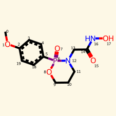 COc1ccc(P2(=O)OCCCN2CC(=O)NO)cc1